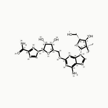 C[C@@]1(F)[C@H](O)[C@@H](CO)O[C@H]1n1cnc2c(N)nc(OC[C@H]3O[C@@H](n4cnc(C(N)=O)n4)[C@H](O)[C@@H]3O)nc21